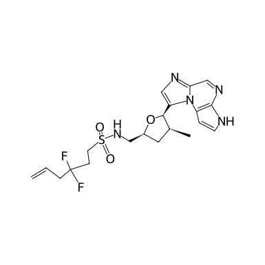 C=CCC(F)(F)CCS(=O)(=O)NC[C@@H]1C[C@H](C)[C@H](c2cnc3cnc4[nH]ccc4n23)O1